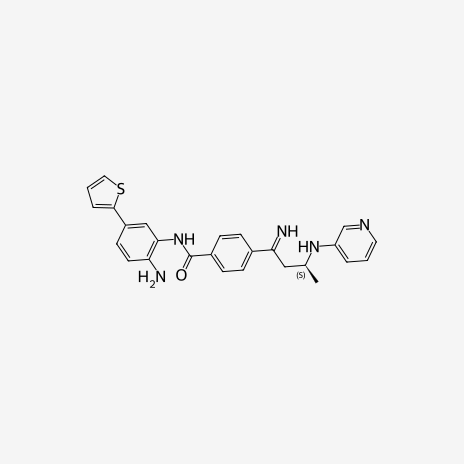 C[C@@H](CC(=N)c1ccc(C(=O)Nc2cc(-c3cccs3)ccc2N)cc1)Nc1cccnc1